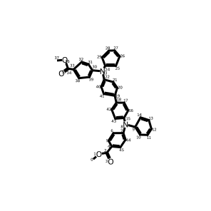 COC(=O)c1ccc(N(c2ccccc2)c2ccc(-c3ccc(N(c4ccccc4)c4ccc(C(=O)OC)cc4)cc3)cc2)cc1